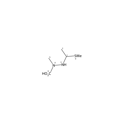 CSC(C)NN(C)C(=O)O